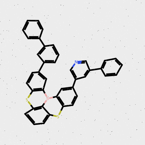 c1ccc(-c2cccc(-c3ccc4c(c3)B3c5cc(-c6cncc(-c7ccccc7)c6)ccc5Sc5cccc(c53)S4)c2)cc1